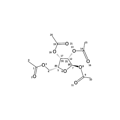 CC(=O)OC[C@H]1O[C@H](OC(C)=O)[C@@H](OC(C)=O)[C@H]1OC(C)=O